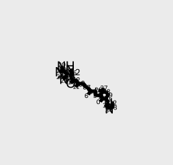 CC1=C(/C=C/C(C)=C/C=C/C(C)=C/C(=O)n2cnc3c(N)ncnc32)C(C)(C)CCC1n1ccnc1